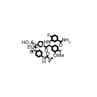 CCS(=O)(=O)c1ccc(NC(=O)N(C)C)cc1[C@@H]1[C@@H](OC(=O)O)CCN1C(=O)[C@H](Nc1cc(C(N)=O)ccc1F)c1ccc(F)c(OC)c1